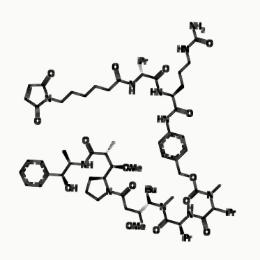 CC[C@H](C)[C@@H](C(CC(=O)N1CCC[C@H]1[C@H](OC)[C@@H](C)C(=O)N[C@H](C)[C@@H](O)c1ccccc1)OC)N(C)C(=O)[C@@H](NC(=O)C(C(C)C)N(C)C(=O)OCc1ccc(NC(=O)[C@H](CCCNC(N)=O)NC(=O)[C@H](NC(=O)CCCCCN2C(=O)C=CC2=O)C(C)C)cc1)C(C)C